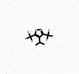 CC(C)c1c(C(F)(F)F)noc1C(F)(F)F